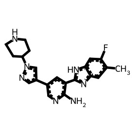 Cc1cc2nc(-c3cc(-c4cnn(C5CCNCC5)c4)cnc3N)[nH]c2cc1F